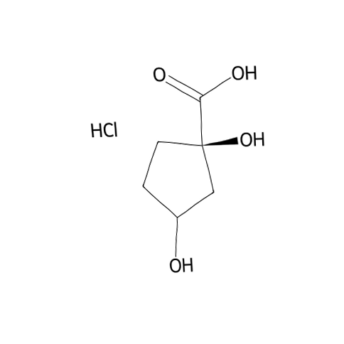 Cl.O=C(O)[C@@]1(O)CCC(O)C1